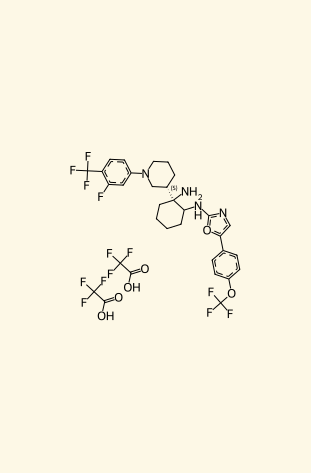 NC1([C@H]2CCCN(c3ccc(C(F)(F)F)c(F)c3)C2)CCCCC1Nc1ncc(-c2ccc(OC(F)(F)F)cc2)o1.O=C(O)C(F)(F)F.O=C(O)C(F)(F)F